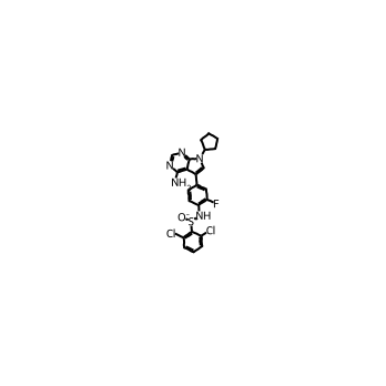 Nc1ncnc2c1c(-c1ccc(N[S+]([O-])c3c(Cl)cccc3Cl)c(F)c1)cn2C1CCCC1